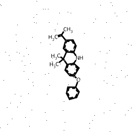 C=C(C)c1ccc2c(c1)C(C)(C)c1ccc(Oc3ccccc3)cc1N2